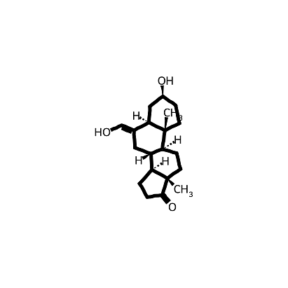 C[C@]12CC[C@H](O)C[C@@H]1C(=CO)C[C@@H]1[C@@H]2CC[C@]2(C)C(=O)CC[C@@H]12